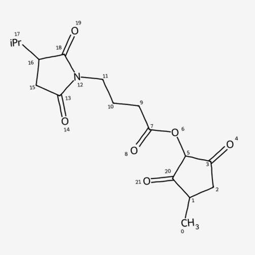 CC1CC(=O)C(OC(=O)CCCN2C(=O)CC(C(C)C)C2=O)C1=O